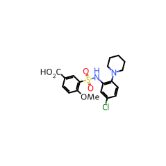 COc1ccc(C(=O)O)cc1S(=O)(=O)Nc1cc(Cl)ccc1N1CCCCC1